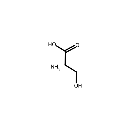 N.O=C(O)CCO